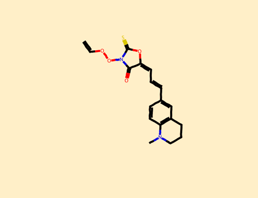 C=COON1C(=O)/C(=C\C=C\c2ccc3c(c2)CCCN3C)OC1=S